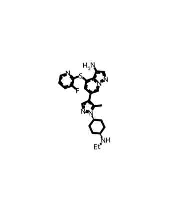 CCN[C@H]1CC[C@@H](n2ncc(-c3cc(Sc4ncccc4F)c4c(N)cnn4c3)c2C)CC1